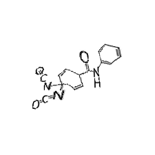 O=C=NC1(N=C=O)C=CC(C(=O)Nc2ccccc2)C=C1